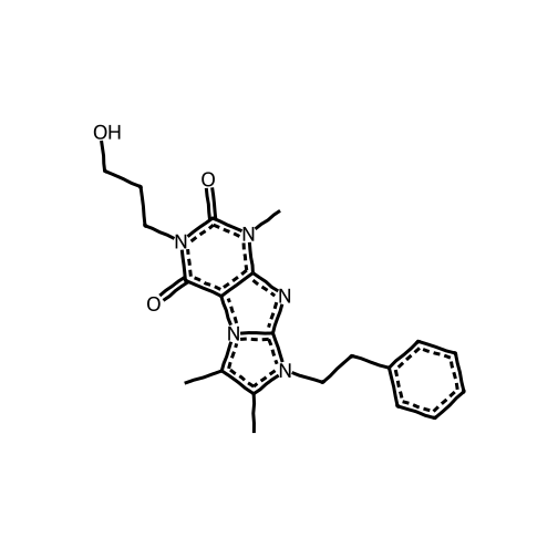 Cc1c(C)n2c3c(=O)n(CCCO)c(=O)n(C)c3nc2n1CCc1ccccc1